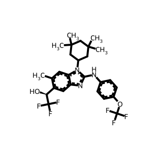 Cc1cc2c(cc1[C@H](O)C(F)(F)F)nc(Nc1ccc(OC(F)(F)F)cc1)n2C1CC(C)(C)CC(C)(C)C1